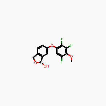 COc1c(F)cc(Oc2ccc3c(c2)B(O)OC3)c(F)c1F